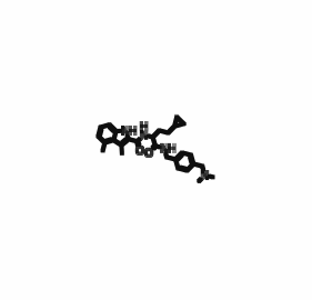 Cc1cccc2[nH]c(C(=O)NC(CCC3CC3)C(=O)NCc3ccc(CN(C)C)cc3)c(C)c12